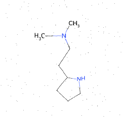 CN(C)CCC1CCCN1